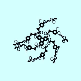 C=CC(=O)OCCCOc1ccc(C2CC2C(=O)Oc2cc3c4cc(OC(=O)C5CC5c5ccc(OCCCOC(=O)C=C)c(F)c5)c(OC(=O)C5CC5c5ccc(OCCCOC(=O)C=C)c(F)c5)cc4c4cc(OC(=O)C5CC5c5ccc(OCCCOC(=O)C=C)c(F)c5)c(OC(=O)C5CC5c5ccc(OCCCOC(=O)C=C)c(F)c5)cc4c3cc2OC(=O)C2CC2c2ccc(OCCCOC(=O)C=C)c(F)c2)cc1F